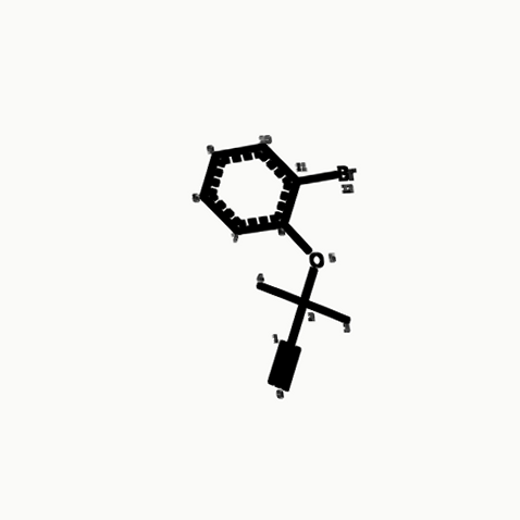 C#CC(C)(C)Oc1ccccc1Br